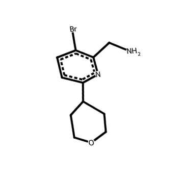 NCc1nc(C2CCOCC2)ccc1Br